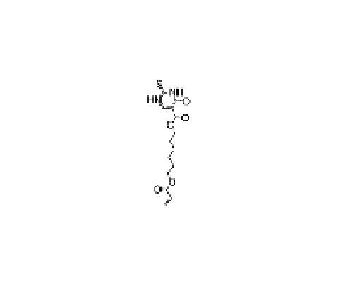 C=CC(=O)OCCCCCCOC(=O)c1c[nH]c(=S)[nH]c1=O